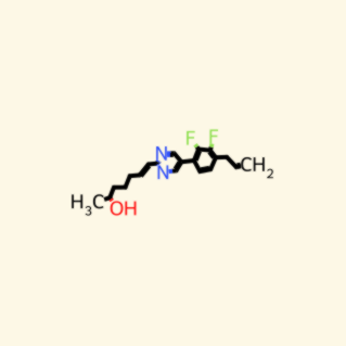 C=CCc1ccc(-c2cnc(/C=C/CCCC(C)O)nc2)c(F)c1F